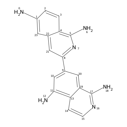 Nc1[c]cc2c(N)nc(-c3cc(N)c4ccnc(N)c4c3)cc2c1